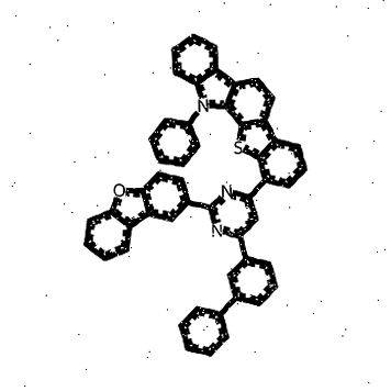 c1ccc(-c2cccc(-c3cc(-c4cccc5c4sc4c5ccc5c6ccccc6n(-c6ccccc6)c54)nc(-c4ccc5oc6ccccc6c5c4)n3)c2)cc1